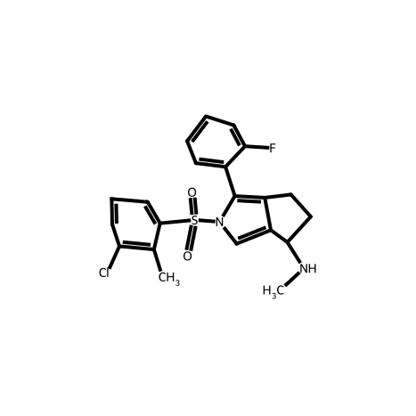 CNC1CCc2c1cn(S(=O)(=O)c1cccc(Cl)c1C)c2-c1ccccc1F